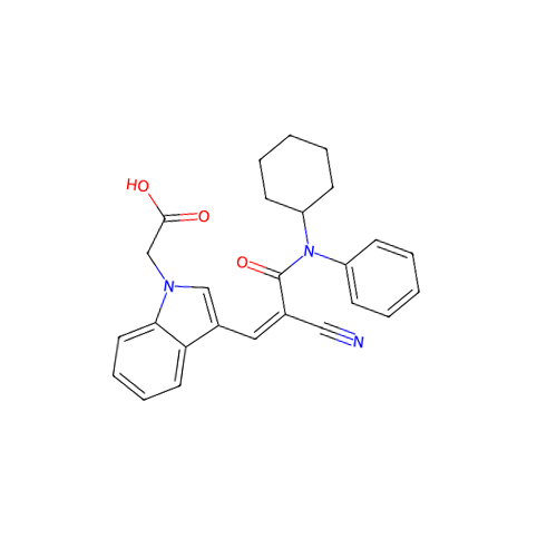 N#CC(=Cc1cn(CC(=O)O)c2ccccc12)C(=O)N(c1ccccc1)C1CCCCC1